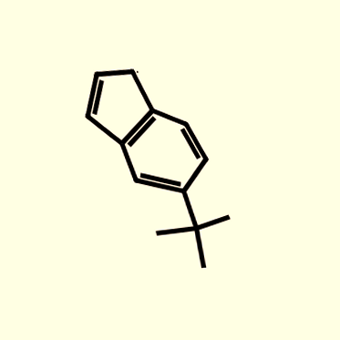 CC(C)(C)c1ccc2c(c1)C=C[CH]2